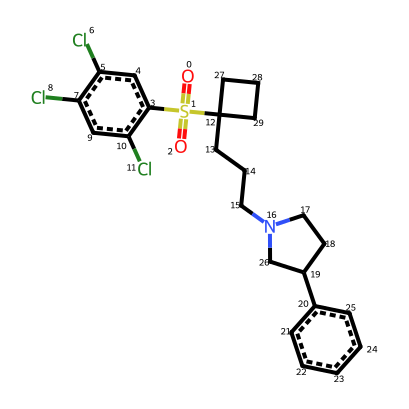 O=S(=O)(c1cc(Cl)c(Cl)cc1Cl)C1(CCCN2CCC(c3ccccc3)C2)CCC1